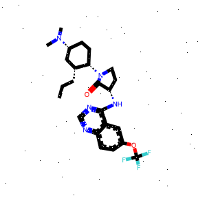 CCC[C@@H]1C[C@H](N(C)C)CC[C@@H]1N1CC[C@H](Nc2ncnc3ccc(OC(F)(F)F)cc23)C1=O